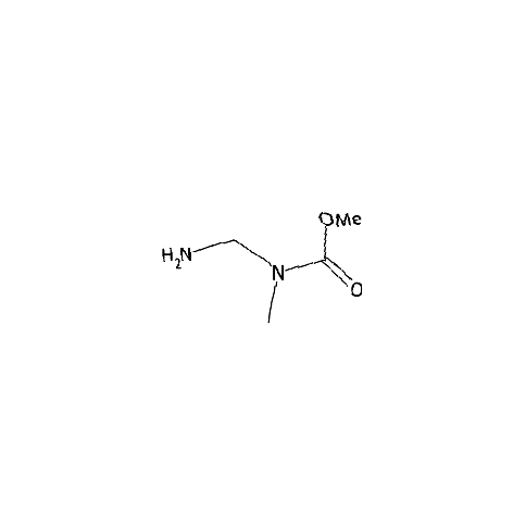 COC(=O)N(C)CN